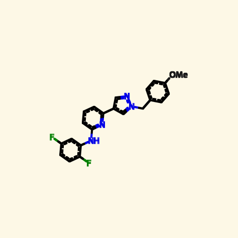 COc1ccc(Cn2cc(-c3cccc(Nc4cc(F)ccc4F)n3)cn2)cc1